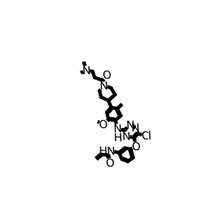 C=CC(=O)Nc1cccc(Oc2nc(Nc3cc(C)c(C4CCN(C(=O)CCN(C)C)CC4)cc3OC)nnc2Cl)c1